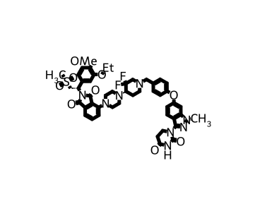 CCOc1cc([C@@H](CS(C)(=O)=O)N2C(=O)c3cccc(N4CCN([C@H]5CCN(Cc6ccc(Oc7ccc8c(N9CCC(=O)NC9=O)nn(C)c8c7)cc6)CC5(F)F)CC4)c3C2=O)ccc1OC